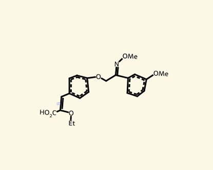 CCO/C(=C\c1ccc(OCC(=NOC)c2cccc(OC)c2)cc1)C(=O)O